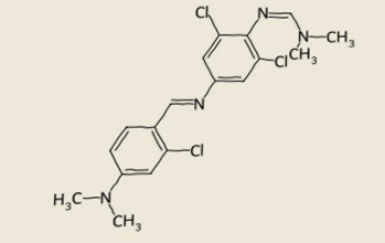 CN(C)/C=N\c1c(Cl)cc(/N=C/c2ccc(N(C)C)cc2Cl)cc1Cl